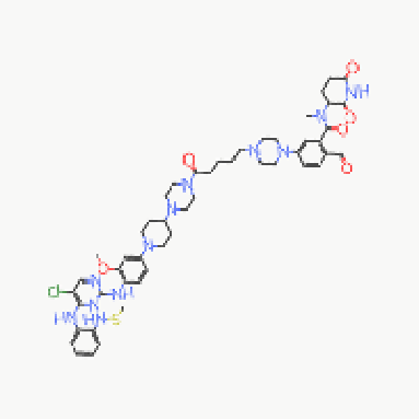 COc1cc(N2CCC(N3CCN(C(=O)CCCCN4CCN(c5ccc(C=O)c(C(=O)N(C)C6CCC(=O)NC6=O)c5)CC4)CC3)CC2)ccc1Nc1ncc(Cl)c(Nc2ccccc2NSC)n1